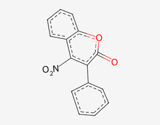 O=c1oc2ccccc2c([N+](=O)[O-])c1-c1ccccc1